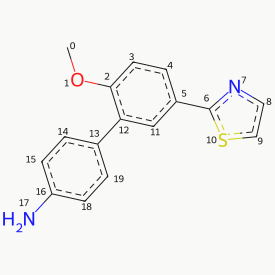 COc1ccc(-c2nccs2)cc1-c1ccc(N)cc1